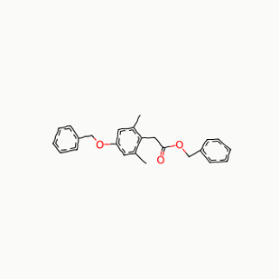 Cc1cc(OCc2ccccc2)cc(C)c1CC(=O)OCc1ccccc1